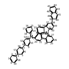 c1ccc(-c2ccc(-c3ccc(N(c4ccccc4)c4ccc(-c5ccccc5-n5c6ccccc6c6cc(-c7ccc8ccccc8c7)ccc65)cc4)cc3)cc2)cc1